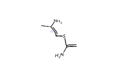 C=C(N)S/C=C(/C)N